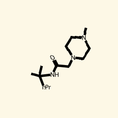 CCCC(C)(C)NC(=O)CN1CCN(C)CC1